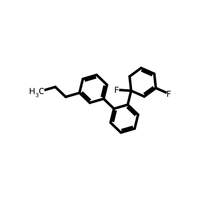 CCCc1cccc(-c2ccccc2C2(F)C=C(F)C=CC2)c1